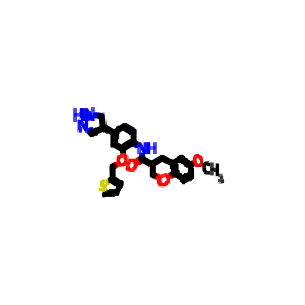 COc1ccc2c(c1)CC(C(=O)Nc1ccc(C3C=NNC3)cc1OCc1cccs1)CO2